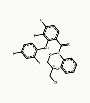 O=C(c1ccc(F)c(F)c1Nc1ccc(I)cc1F)N(OC[C@H](O)CO)c1ccccc1